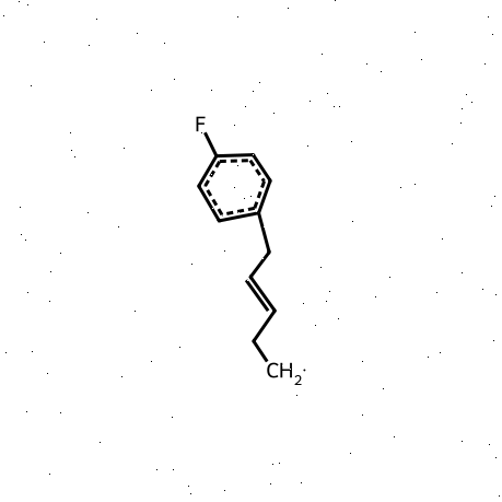 [CH2]C/C=C/Cc1ccc(F)cc1